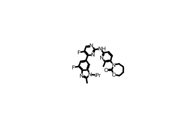 Cc1nc(Nc2ncc(F)c(-c3cc(F)c4nc(C)n(C(C)C)c4c3)n2)ccc1N1CCCCOC1=O